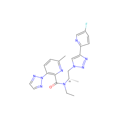 CCN(C(=O)c1nc(C)ccc1-n1nccn1)[C@@H](C)Cn1cc(-c2ccc(F)cn2)nn1